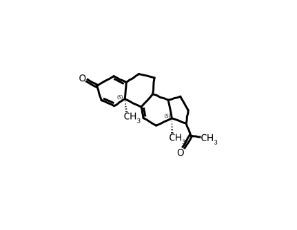 CC(=O)C1CCC2C3CCC4=CC(=O)C=C[C@]4(C)C3=CC[C@]12C